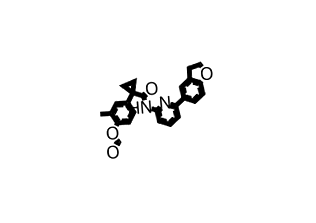 Cc1cc(C2(C(=O)Nc3cccc(-c4ccc5c(c4)CCO5)n3)CC2)ccc1OC=O